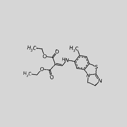 CCOC(=O)C(=CNc1cc2c(cc1C)SC1=NCCN12)C(=O)OCC